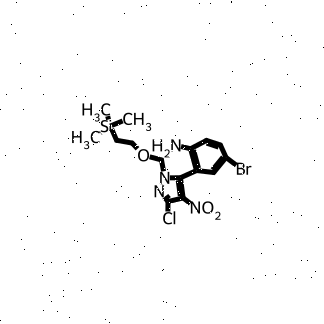 C[Si](C)(C)CCOCn1nc(Cl)c([N+](=O)[O-])c1-c1cc(Br)ccc1N